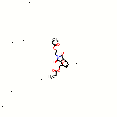 C=CC(=O)OCCN1C(=O)C2C3C=CC(COC(=O)C=C)(O3)C2C1=O